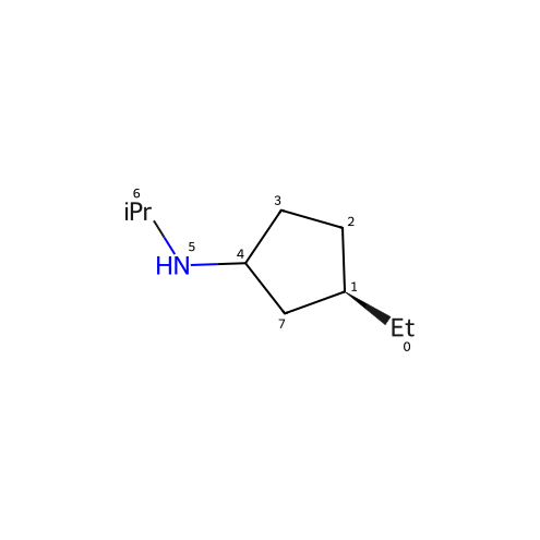 CC[C@@H]1CCC(NC(C)C)C1